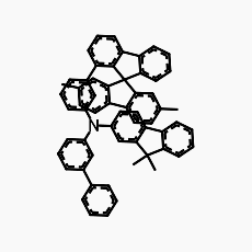 Cc1ccc2c(c1)C1(c3cc(C)ccc3-2)c2ccccc2-c2cccc(-c3cccc(N(c4cccc(-c5ccccc5)c4)c4ccc5c(c4)C(C)(C)c4ccccc4-5)c3)c21